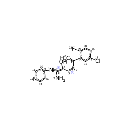 C=C(/N=C\C(O)=C(/N)Nc1ccncc1)c1cc(Cl)ccc1F